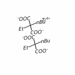 CCCCC(CC)(C(=O)[O-])C(=O)[O-].CCCCC(CC)(C(=O)[O-])C(=O)[O-].[Ti+4]